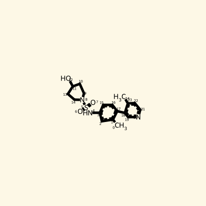 Cc1cc(NS(=O)(=O)N2CCC(O)CC2)ccc1-c1cnccc1C